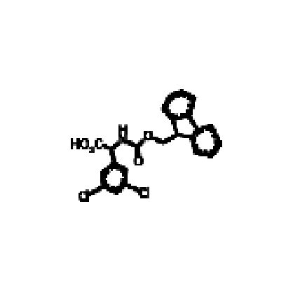 O=C(NC(C(=O)O)c1cc(Cl)cc(Cl)c1)OCC1c2ccccc2-c2ccccc21